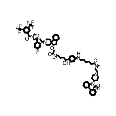 CN(CCN1CCC(N(C(=O)O)c2ccccc2-c2ccccc2)CC1)C(=O)CCCCCNc1ccc(C(O)CCCN(C)C(=O)CO[C@H]2Cc3ccccc3C23CCN(CC[C@@]2(c4ccc(F)cc4)CN(C(=O)c4cc(C(F)(F)F)cc(C(F)(F)F)c4)CO2)CC3)cc1